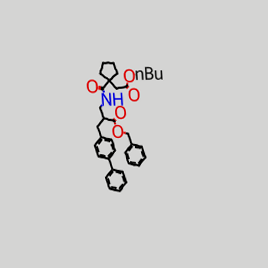 CCCCOC(=O)CC1(C(=O)NCC(Cc2ccc(-c3ccccc3)cc2)C(=O)OCc2ccccc2)CCCC1